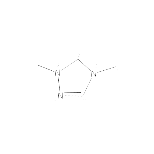 CN1[C]N(C)N=C1